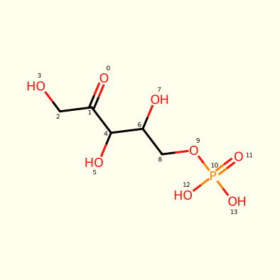 O=C(CO)C(O)C(O)COP(=O)(O)O